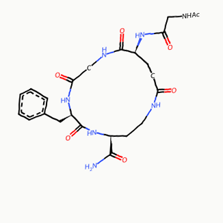 CC(=O)NCC(=O)N[C@H]1CCC(=O)NCC[C@@H](C(N)=O)NC(=O)[C@@H](Cc2ccccc2)NC(=O)CNC1=O